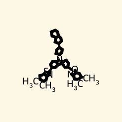 Cc1cc2nc(-c3ccc4c(c3)c3cc(-c5nc6cc(C)c(C)cc6s5)ccc3n4-c3ccc(-c4ccc5ccccc5c4)cc3)oc2cc1C